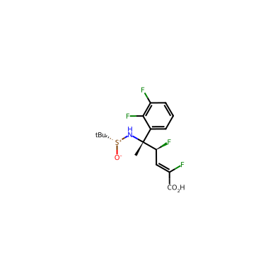 CC(C)(C)[S@@+]([O-])N[C@](C)(c1cccc(F)c1F)[C@@H](F)C=C(F)C(=O)O